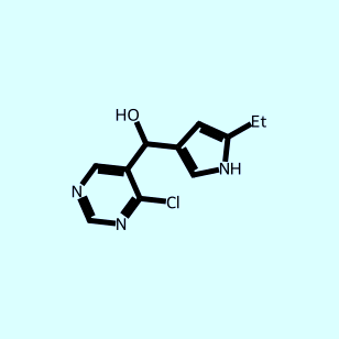 CCc1cc(C(O)c2cncnc2Cl)c[nH]1